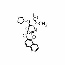 CC(C)[C@H](/N=[P+](\[O-])Oc1c(Cl)ccc2ccccc12)C(=O)OC1CCCC1